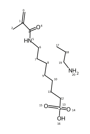 C=C(C)C(=O)NCCCCCCCS(=O)(=O)O.CCCN